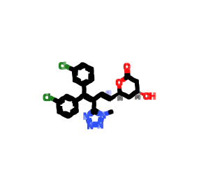 Cn1nnnc1C(/C=C/[C@@H]1C[C@@H](O)CC(=O)O1)=C(c1cccc(Cl)c1)c1cccc(Cl)c1